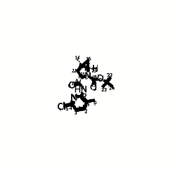 Cc1ccc(Cl)nc1NC(=O)[C@@H]1C[C@@]2(C)C[C@H]2N1C(=O)OC(C)(C)C